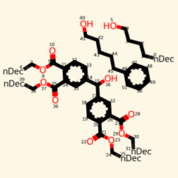 CCCCCCCCCCCCCCO.CCCCCCCCCCCOC(=O)c1ccc(C(O)c2ccc(C(=O)OCCCCCCCCCCC)c(C(=O)OCCCCCCCCCCC)c2)cc1C(=O)OCCCCCCCCCCC.OCCCCCc1ccccc1